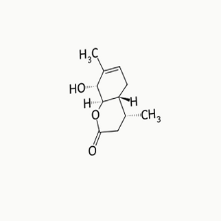 CC1=CC[C@H]2[C@@H](OC(=O)C[C@H]2C)[C@@H]1O